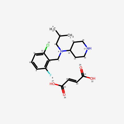 CC(C)CN(Cc1c(F)cccc1Cl)C1CCNCC1.O=C(O)/C=C/C(=O)O